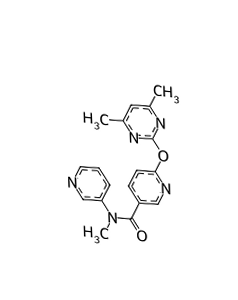 Cc1cc(C)nc(Oc2ccc(C(=O)N(C)c3cccnc3)cn2)n1